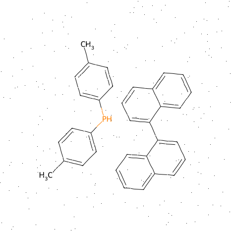 Cc1ccc(Pc2ccc(C)cc2)cc1.c1ccc2c(-c3cccc4ccccc34)cccc2c1